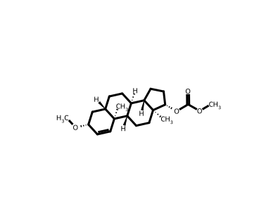 COC(=O)O[C@H]1CC[C@H]2[C@@H]3CC[C@H]4C[C@@H](OC)C=C[C@]4(C)[C@H]3CC[C@]12C